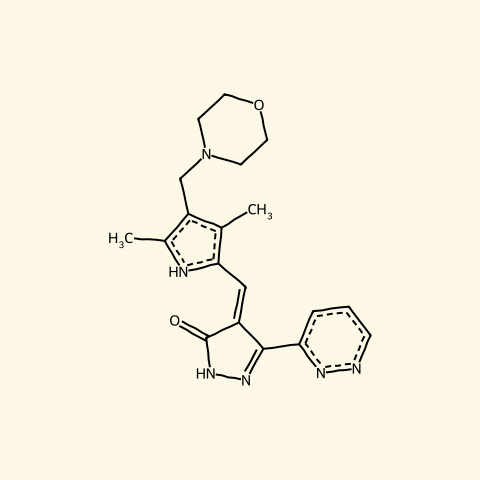 Cc1[nH]c(C=C2C(=O)NN=C2c2cccnn2)c(C)c1CN1CCOCC1